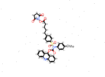 COc1ccc(N(C(=O)Oc2c3ccccc3nc3ccccc23)S(=O)(=O)c2ccc(CCCCC(=O)ON3C(=O)CCC3=O)cc2)cc1